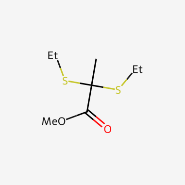 CCSC(C)(SCC)C(=O)OC